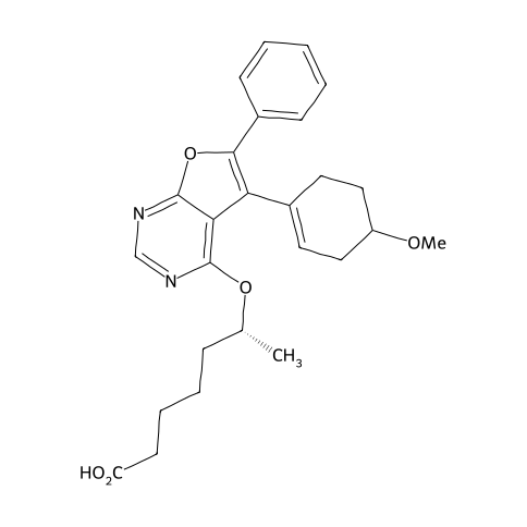 COC1CC=C(c2c(-c3ccccc3)oc3ncnc(O[C@H](C)CCCCC(=O)O)c23)CC1